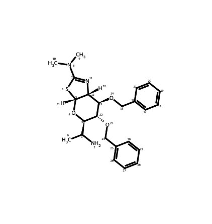 CC(N)[C@H]1O[C@@H]2SC(N(C)C)=N[C@@H]2[C@@H](OCc2ccccc2)[C@@H]1OCc1ccccc1